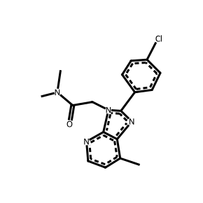 Cc1ccnc2c1nc(-c1ccc(Cl)cc1)n2CC(=O)N(C)C